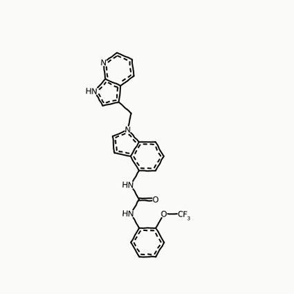 O=C(Nc1ccccc1OC(F)(F)F)Nc1cccc2c1ccn2Cc1c[nH]c2ncccc12